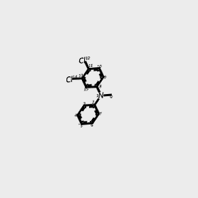 CN(c1cc[c]cc1)c1ccc(Cl)c(Cl)c1